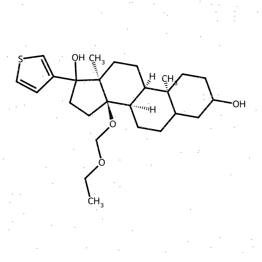 CCOCO[C@@]12CCC(O)(c3ccsc3)[C@@]1(C)CC[C@@H]1[C@H]2CCC2CC(O)CC[C@@]21C